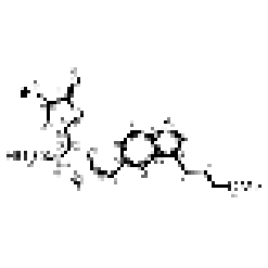 COCCCc1coc2ccc(C[C@@H](C[C@H](NC(=O)O)[C@@H]3C[C@@H](C(C)C)C(=O)O3)C(C)C)cc12